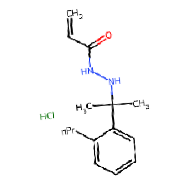 C=CC(=O)NNC(C)(C)c1ccccc1CCC.Cl